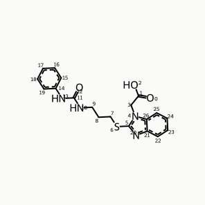 O=C(O)Cn1c(SCCCNC(=O)Nc2ccccc2)nc2ccccc21